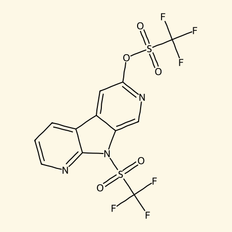 O=S(=O)(Oc1cc2c3cccnc3n(S(=O)(=O)C(F)(F)F)c2cn1)C(F)(F)F